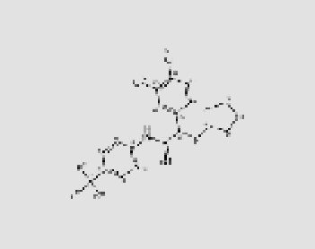 O=C(Nc1ccc(C(F)(F)F)cn1)C(CC1CCCC1)c1ccc(Cl)c(Cl)c1